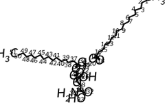 CCCCCCCCCCCCCCCCCC(=O)OC[C@H](COP(=O)(O)OC[C@H](N)C(=O)O)OC(=O)CCCCCCCCCCCCCCC